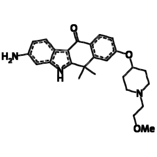 COCCN1CCC(Oc2ccc3c(c2)C(C)(C)c2[nH]c4cc(N)ccc4c2C3=O)CC1